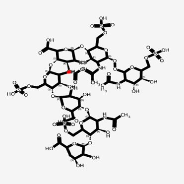 CC(=O)NC1C(OO[C@@H]2OC(COS(=O)(=O)O)[C@@H](O[C@@H]3OC(C(=O)O)[C@@H](O[C@@H]4OC(COS(=O)(=O)O)[C@@H](O[C@@H]5OC(C(=O)O)[C@@H](O[C@@H]6OC(COS(=O)(=O)O)[C@@H](O[C@@H]7OC(C(=O)O)C[C@H](O)C7O)[C@H](O)C6NC(C)=O)[C@H](O)C5O)[C@H](O)C4NC(C)=O)[C@H](O)C3O)[C@H](O)C2NC(C)=O)OC(COS(=O)(=O)O)[C@@H](O)[C@@H]1O